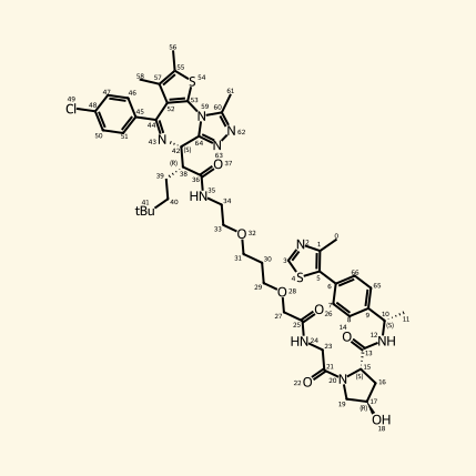 Cc1ncsc1-c1ccc([C@H](C)NC(=O)[C@@H]2C[C@@H](O)CN2C(=O)CNC(=O)COCCCOCCNC(=O)[C@H](CCC(C)(C)C)[C@@H]2N=C(c3ccc(Cl)cc3)c3c(sc(C)c3C)-n3c(C)nnc32)cc1